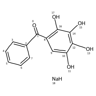 O=C(c1ccccc1)c1cc(O)c(O)c(O)c1O.[NaH]